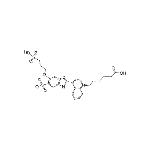 O=C(O)CCCCC[n+]1ccc(-c2nc3cc(S(=O)(=O)[O-])c(OCCCS(=O)(=O)O)cc3o2)c2ccccc21